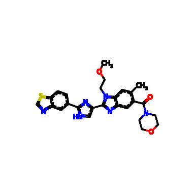 COCCn1c(-c2c[nH]c(-c3ccc4scnc4c3)n2)nc2cc(C(=O)N3CCOCC3)c(C)cc21